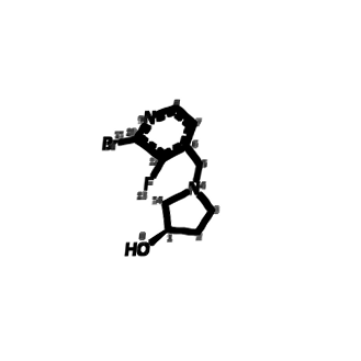 O[C@@H]1CCN(Cc2ccnc(Br)c2F)C1